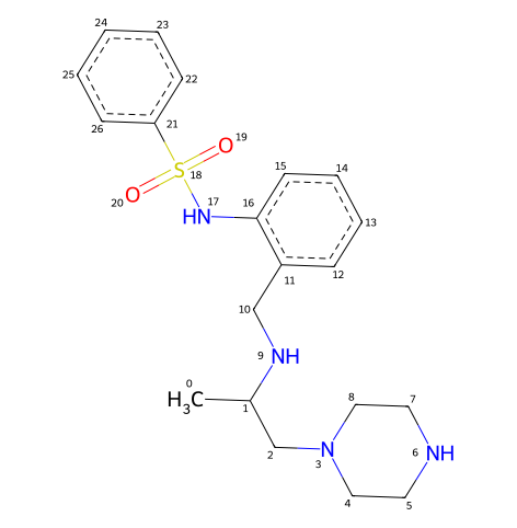 CC(CN1CCNCC1)NCc1ccccc1NS(=O)(=O)c1ccccc1